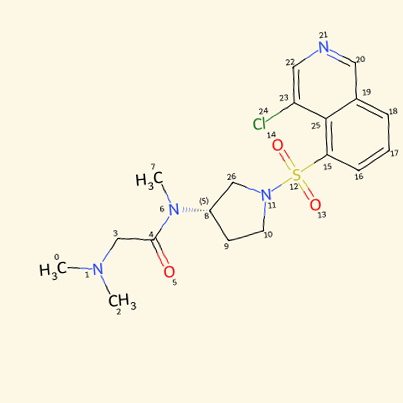 CN(C)CC(=O)N(C)[C@H]1CCN(S(=O)(=O)c2cccc3cncc(Cl)c23)C1